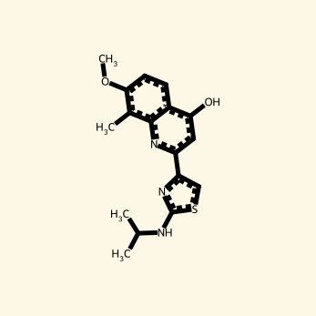 COc1ccc2c(O)cc(-c3csc(NC(C)C)n3)nc2c1C